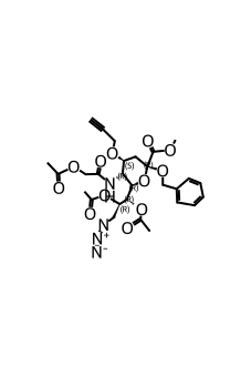 C#CCO[C@H]1C[C@](OCc2ccccc2)(C(=O)OC)O[C@@H]([C@H](OC(C)=O)[C@@H](CN=[N+]=[N-])OC(C)=O)[C@@H]1NC(=O)COC(C)=O